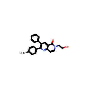 O=Cc1ccc(-c2nc3ccn(CCO)c(=O)c3cc2-c2ccccc2)cc1